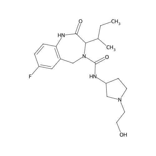 CCC(C)C1C(=O)Nc2ccc(F)cc2CN1C(=O)NC1CCN(CCO)C1